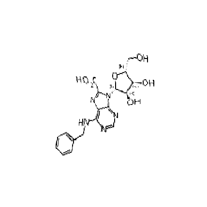 O=C(O)c1nc2c(NCc3ccccc3)ncnc2n1[C@@H]1O[C@H](CO)[C@@H](O)[C@H]1O